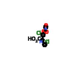 O=C(O)C1N=C(c2ccccc2Cl)CC1c1ccc(OC(=O)N2CCOCC2)c(Cl)c1